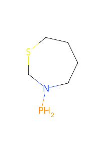 PN1CCCCSC1